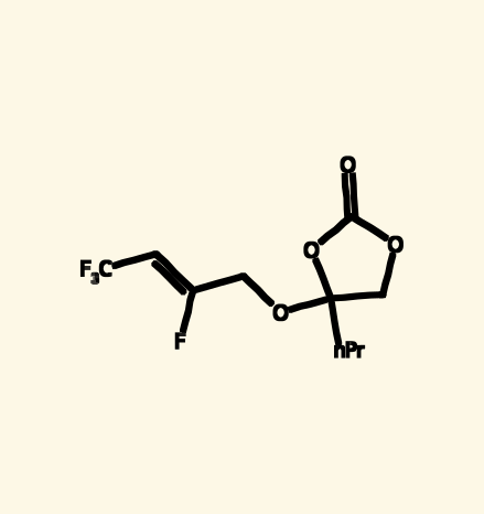 CCCC1(OCC(F)=CC(F)(F)F)COC(=O)O1